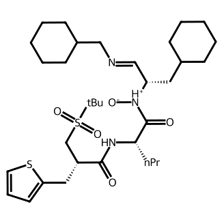 CCC[C@H](NC(=O)[C@H](Cc1cccs1)CS(=O)(=O)C(C)(C)C)C(=O)[NH+]([O-])[C@H](C=NCC1CCCCC1)CC1CCCCC1